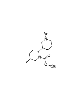 CC(=O)N1CCC[C@@H]([C@H]2CC[C@H](C)CN2C(=O)OC(C)(C)C)C1